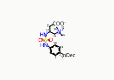 CCCCCCCCCCc1ccc(NS(=O)(=O)NC(CC(=O)[O-])C[N+](C)(C)C)cc1